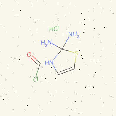 Cl.NC1(N)NC=CS1.O=CCl